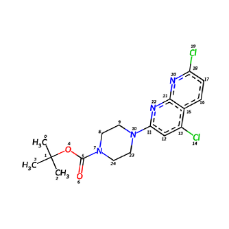 CC(C)(C)OC(=O)N1CCN(c2cc(Cl)c3ccc(Cl)nc3n2)CC1